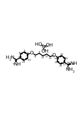 N=C(N)c1ccc(OCCCCCOc2ccc(C(=N)N)cc2)cc1.OB(O)O